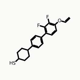 C=COc1ccc(-c2ccc(C3CCC(S)CC3)cc2)c(F)c1F